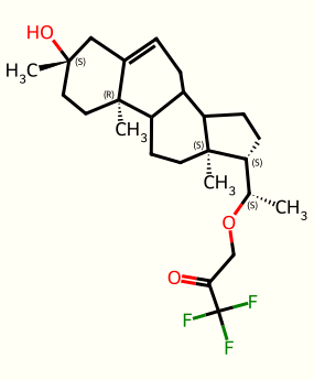 C[C@H](OCC(=O)C(F)(F)F)[C@H]1CCC2C3CC=C4C[C@@](C)(O)CC[C@]4(C)C3CC[C@@]21C